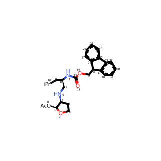 CC(=O)O[C@@H]1OCC[C@@H]1NC[C@@H](CC(C)C)NC(=O)OCC1c2ccccc2-c2ccccc21